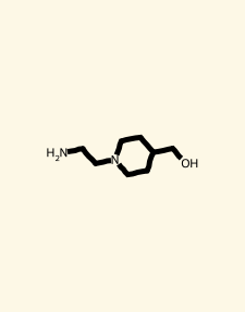 NCCN1CCC(CO)CC1